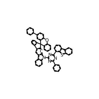 c1ccc(-c2ccc3c(c2)C2(c4ccccc4O3)c3ccccc3-c3cc4c5ccccc5n(-c5nc(-c6ccccc6)nc(-c6cccc7c6sc6ccccc67)n5)c4cc32)cc1